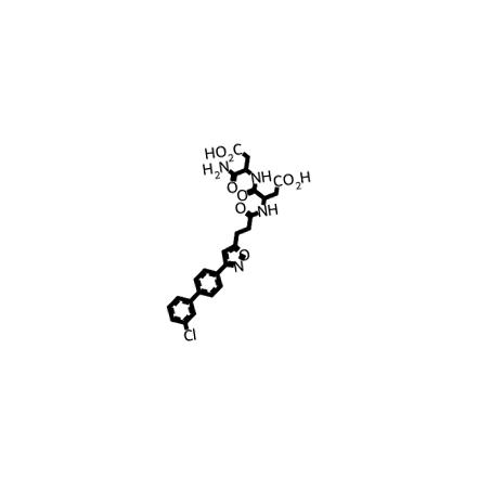 NC(=O)C(CC(=O)O)NC(=O)C(CC(=O)O)NC(=O)CCc1cc(-c2ccc(-c3cccc(Cl)c3)cc2)no1